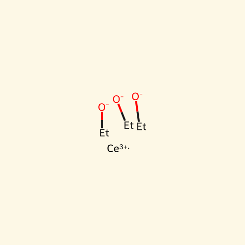 CC[O-].CC[O-].CC[O-].[Ce+3]